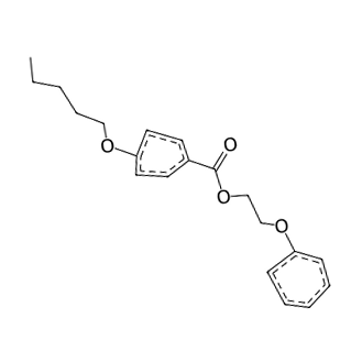 CCCCCOc1ccc(C(=O)OCCOc2ccccc2)cc1